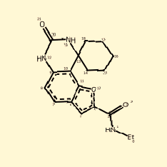 CCNC(=O)c1cc2ccc3c(c2o1)C1(CCCCC1)NC(=O)N3